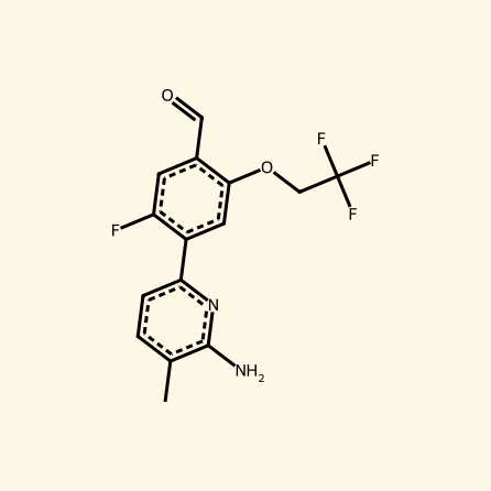 Cc1ccc(-c2cc(OCC(F)(F)F)c(C=O)cc2F)nc1N